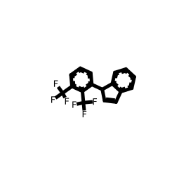 FC(F)(F)c1cccc([C]2C=Cc3ccccc32)c1C(F)(F)F